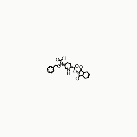 O=C(ON1C(=O)C2CC=CCC2C1=O)[C@@H]1CC[C@@H](N(OCc2ccccc2)C(=O)Cl)CN1